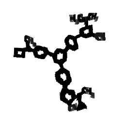 CB(C)c1cc(C#N)cc(-c2ccc(-c3cc(-c4ccc(B(C)C5CCC5)cc4)cc(-c4ccc(-c5ccc(C#N)c(B(C)C6CC6)c5)cc4)c3)cc2)c1